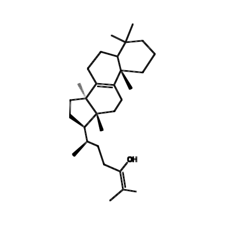 CC(C)=C(O)CC[C@@H](C)[C@H]1CC[C@@]2(C)C3=C(CC[C@]12C)[C@@]1(C)CCCC(C)(C)C1CC3